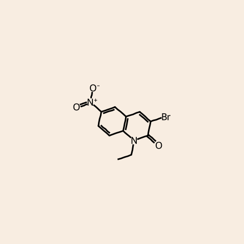 CCn1c(=O)c(Br)cc2cc([N+](=O)[O-])ccc21